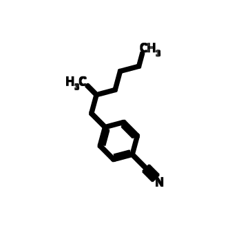 CCCCC(C)Cc1ccc(C#N)cc1